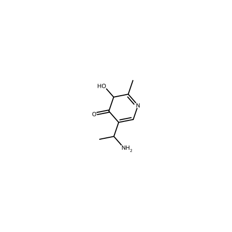 CC1=NC=C(C(C)N)C(=O)C1O